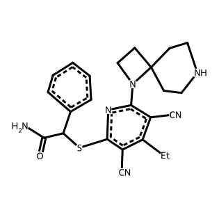 CCc1c(C#N)c(SC(C(N)=O)c2ccccc2)nc(N2CCC23CCNCC3)c1C#N